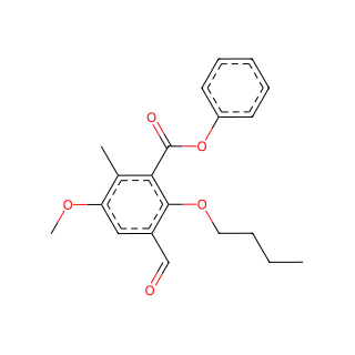 CCCCOc1c(C=O)cc(OC)c(C)c1C(=O)Oc1ccccc1